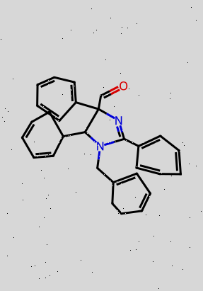 O=CC1(c2ccccc2)N=C(c2ccccc2)N(CC2=CC=CCC2)C1C1C=CC=CC1